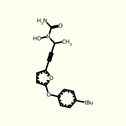 CC(C#Cc1ccc(Oc2ccc(C(C)(C)C)cc2)o1)N(O)C(N)=O